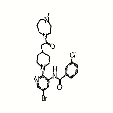 CN1CCCN(C(=O)CC2CCN(c3ncc(Br)cc3NC(=O)c3cccc(Cl)c3)CC2)CC1